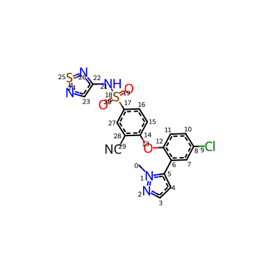 Cn1nccc1-c1cc(Cl)ccc1Oc1ccc(S(=O)(=O)Nc2cnsn2)cc1C#N